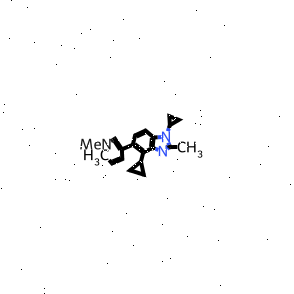 C/C=C\C(=C/NC)c1ccc2c(nc(C)n2C2CC2)c1C1CC1